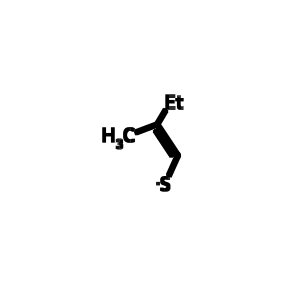 CCC(C)=C[S]